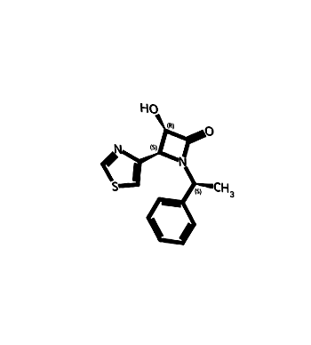 C[C@@H](c1ccccc1)N1C(=O)[C@H](O)[C@@H]1c1cscn1